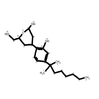 CCCCCCC(C)(C)c1ccc(C2CC(O)CC(CO)C2)c(O)c1